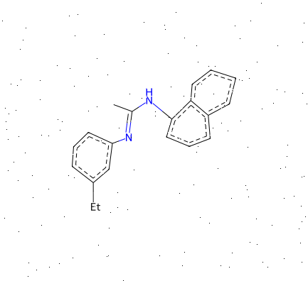 CCc1cccc(N=C(C)Nc2cccc3ccccc23)c1